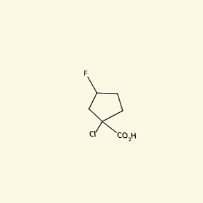 O=C(O)C1(Cl)CCC(F)C1